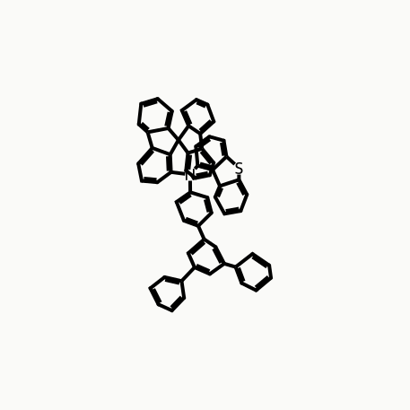 c1ccc(-c2cc(-c3ccccc3)cc(-c3ccc(N(c4cccc5c4C4(c6ccccc6-c6ccccc64)c4ccccc4-5)c4cccc5sc6ccccc6c45)cc3)c2)cc1